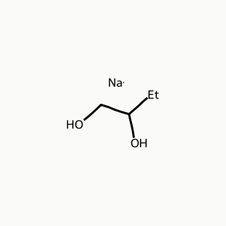 CCC(O)CO.[Na]